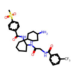 CS(=O)(=O)c1ccc(C(=O)NC2(C3CCC(N)CC3)CCCCC2NC(=O)CNC(=O)c2cccc(C(F)(F)F)c2)cc1